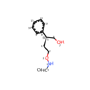 O=CNOCC[C@H](CO)c1ccccc1